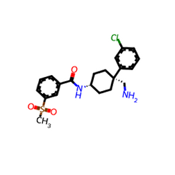 CS(=O)(=O)c1cccc(C(=O)N[C@H]2CC[C@](CN)(c3cccc(Cl)c3)CC2)c1